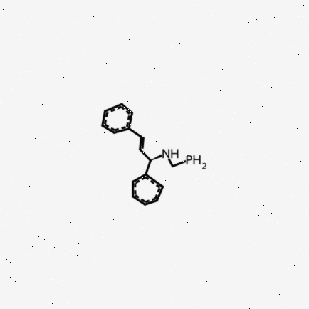 PCN[C@H](/C=C/c1ccccc1)c1ccccc1